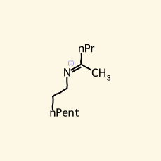 CCCCCCC/N=C(\C)CCC